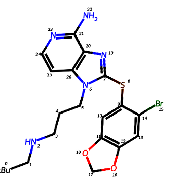 CC(C)(C)CNCCCn1c(Sc2cc3c(cc2Br)OCO3)nc2c(N)nccc21